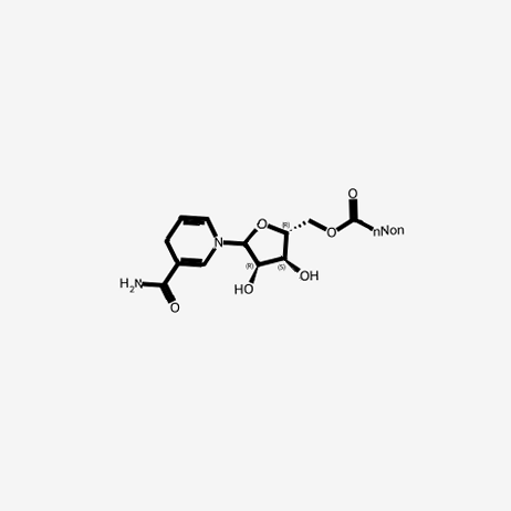 CCCCCCCCCC(=O)OC[C@H]1OC(N2C=CCC(C(N)=O)=C2)[C@H](O)[C@@H]1O